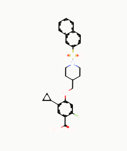 O=C(O)c1cc(C2CC2)c(OCC2CCN(S(=O)(=O)c3ccc4ccccc4c3)CC2)cc1F